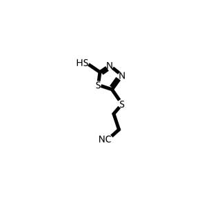 N#CCCSc1nnc(S)s1